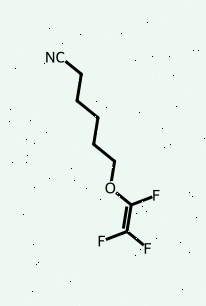 N#CCCCCCOC(F)=C(F)F